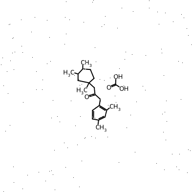 Cc1ccc(CC(=O)CC2(C)CCC(C)C(C)C2)c(C)c1.O=C(O)O